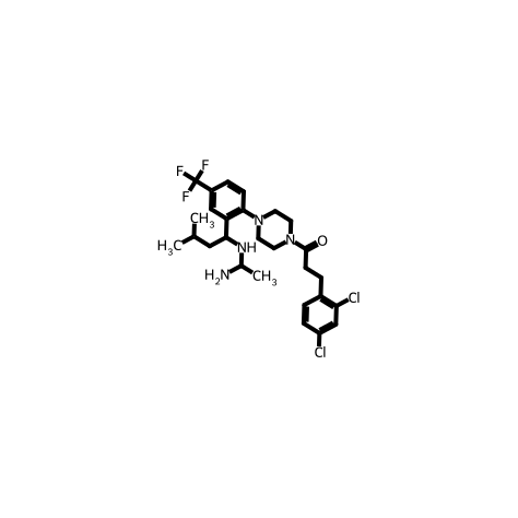 CC(C)CC(NC(C)N)c1cc(C(F)(F)F)ccc1N1CCN(C(=O)CCc2ccc(Cl)cc2Cl)CC1